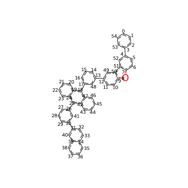 c1ccc(-c2ccc3oc4ccc(-c5cccc(-c6c7ccccc7c(-c7cccc(-c8ccc9ccccc9c8)c7)c7ccccc67)c5)cc4c3c2)cc1